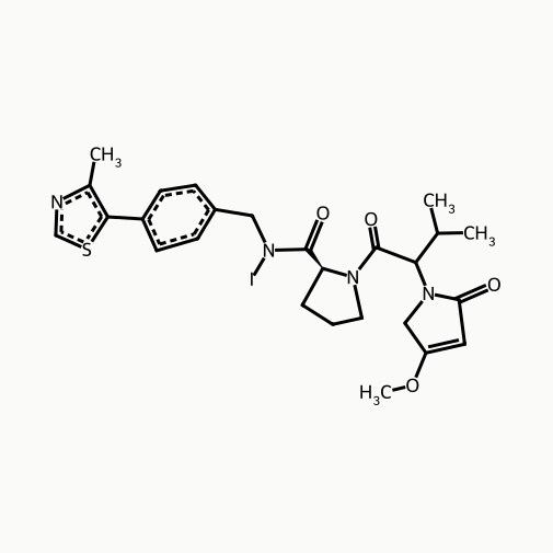 COC1=CC(=O)N(C(C(=O)N2CCC[C@H]2C(=O)N(I)Cc2ccc(-c3scnc3C)cc2)C(C)C)C1